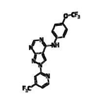 FC(F)(F)Oc1ccc(Nc2ncnc3nn(-c4cc(C(F)(F)F)ccn4)cc23)cc1